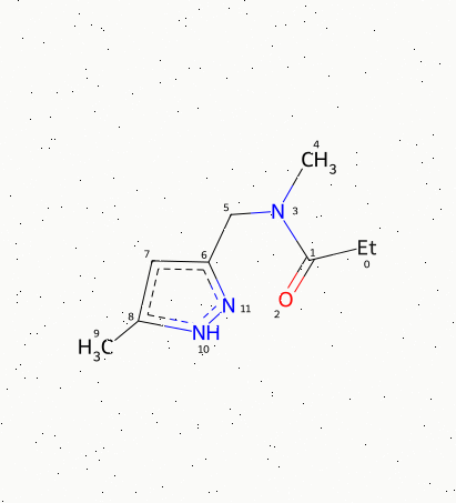 CCC(=O)N(C)Cc1cc(C)[nH]n1